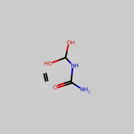 NC(=O)NC(O)O.[CH]=C